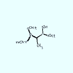 CCCCCCCCP(CCCCCCCC)C(C)P(CCCCCCCC)CCCCCCCC